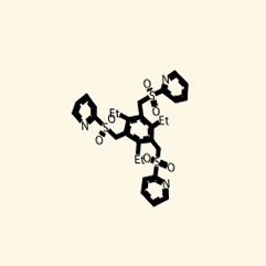 CCc1c(CS(=O)(=O)c2ccccn2)c(CC)c(CS(=O)(=O)c2ccccn2)c(CC)c1CS(=O)(=O)c1ccccn1